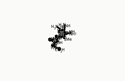 CSCC[C@H](NC(=O)[C@H](CCCNC(=N)N)NC(=O)[C@H](CCCNC(=N)N)NC(=O)[C@H](CCCCN)NC(=O)[C@H](C)N)C(=O)N[C@@H](C)C(=O)N1CCC[C@H]1C(=O)N[C@H](C(=O)N[C@@H](Cc1c[nH]c2ccccc12)C(=O)N1CCC[C@H]1C(=O)N[C@@H](Cc1ccccc1)C(=O)O)[C@@H](C)O